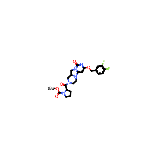 CC(C)(C)OC(=O)N1CCCC1C(=O)N1CCN2c3cc(OCc4ccc(F)c(F)c4)nc(=O)n3CC2C1